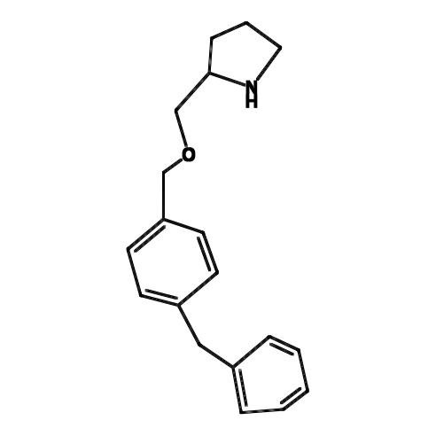 c1ccc(Cc2ccc(COCC3CCCN3)cc2)cc1